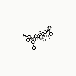 CC1(C)c2cc(N(c3ccccc3)c3ccccc3)ccc2-c2oc3c(c21)C(C)(C)c1cc(N(c2ccc(C#N)cc2)c2c(F)cc(-c4ccccc4)cc2-c2ccccc2)ccc1-3